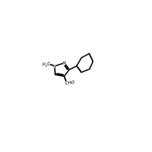 Cn1cc(C=O)c(C2CCCCC2)n1